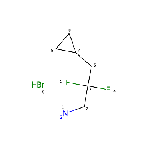 Br.NCC(F)(F)CC1CC1